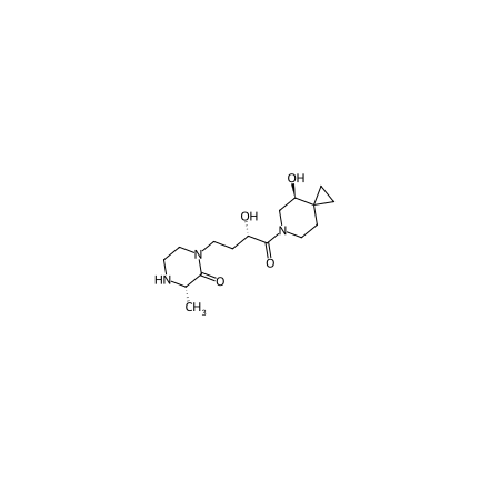 C[C@@H]1NCCN(CC[C@H](O)C(=O)N2CCC3(CC3)[C@H](O)C2)C1=O